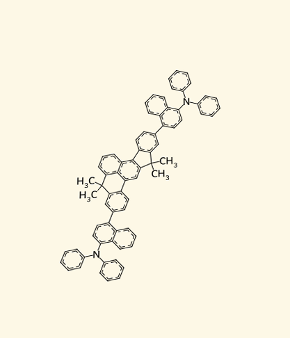 CC1(C)c2cc(-c3ccc(N(c4ccccc4)c4ccccc4)c4ccccc34)ccc2-c2c1cc1c3c(cccc23)C(C)(C)c2cc(-c3ccc(N(c4ccccc4)c4ccccc4)c4ccccc34)ccc2-1